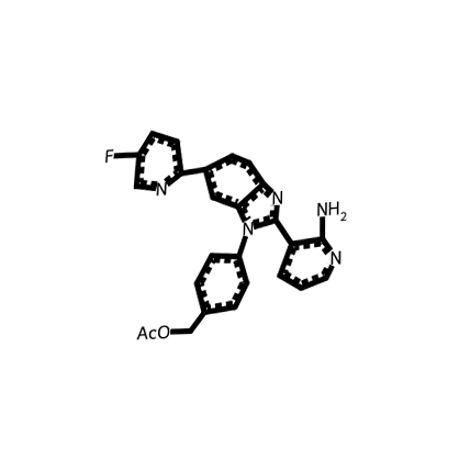 CC(=O)OCc1ccc(-n2c(-c3cccnc3N)nc3ccc(-c4ccc(F)cn4)cc32)cc1